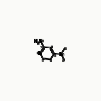 CN(C)c1ccnc(N)c1